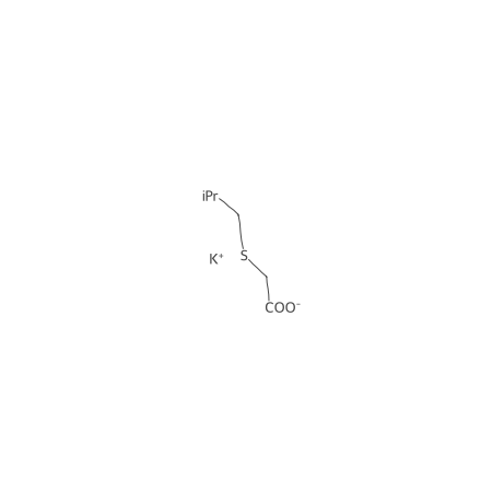 CC(C)CSCC(=O)[O-].[K+]